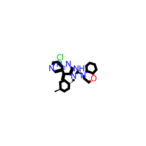 C=C(C1=C(N)N[C@@H](N2CCOC3CCCCC32)N1C[C@H]1CC[C@H](C)CC1)c1cncc(Cl)c1